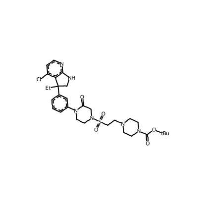 CCC1(c2cccc(N3CCN(S(=O)(=O)CCN4CCN(C(=O)OC(C)(C)C)CC4)CC3=O)c2)CNc2nccc(Cl)c21